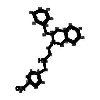 O=[N+]([O-])c1ccc(CNCCN2Cc3ccccc3CC2Cc2ccccc2)cc1